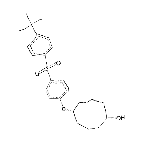 CC(C)(C)c1ccc(S(=O)(=O)c2ccc(O[C@H]3CCC[C@@H](O)CCC3)cc2)cc1